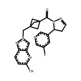 N#Cc1ccc2nn(CC34CC(C(=O)N5N=CCC5c5cncc(F)c5)(C3)C4)cc2n1